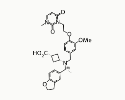 COc1cc(CN([C@H]2C[C@@H](C(=O)O)C2)[C@H](C)c2ccc3c(c2)CCO3)ccc1OCCn1c(=O)ccn(C)c1=O